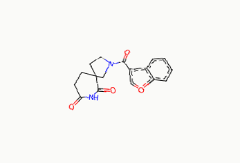 O=C1CCC2(CCN(C(=O)c3coc4ccccc34)C2)C(=O)N1